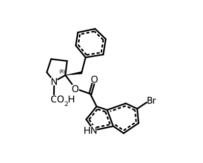 O=C(O[C@@]1(Cc2ccccc2)CCCN1C(=O)O)c1c[nH]c2ccc(Br)cc12